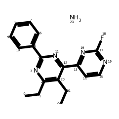 CCc1nc(-c2ccccc2)nc(-c2ccnc(F)n2)c1CC.N